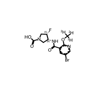 [2H]C([2H])([2H])Oc1ncc(Br)cc1C(=O)N[C@@H]1CN(C(=O)O)C[C@@H]1F